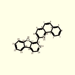 c1ccc2c(c1)ccc1ccc(-c3nccc4c3oc3ccccc34)nc12